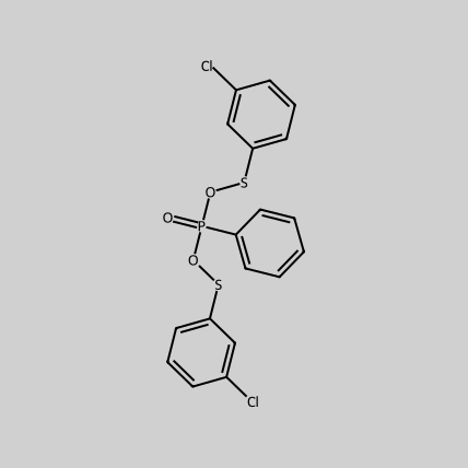 O=P(OSc1cccc(Cl)c1)(OSc1cccc(Cl)c1)c1ccccc1